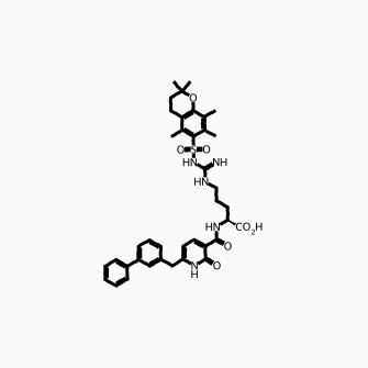 Cc1c(C)c(S(=O)(=O)NC(=N)NCCC[C@H](NC(=O)c2ccc(Cc3cccc(-c4ccccc4)c3)[nH]c2=O)C(=O)O)c(C)c2c1OC(C)(C)CC2